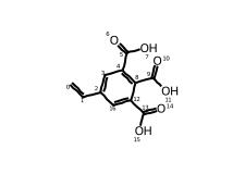 C=Cc1cc(C(=O)O)c(C(=O)O)c(C(=O)O)c1